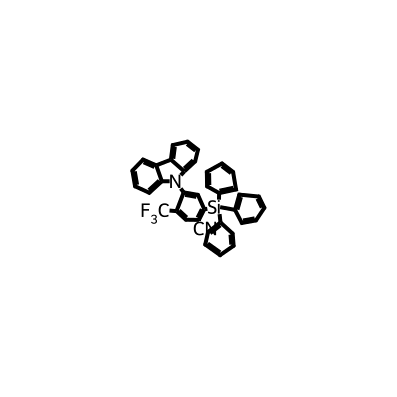 N#Cc1cc(C(F)(F)F)c(-n2c3ccccc3c3ccccc32)cc1[Si](c1ccccc1)(c1ccccc1)c1ccccc1